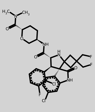 CN(C)C(=O)[C@@H]1CC[C@@H](NC(=O)[C@@H]2NC3(CC(CF)(CF)C3)[C@@]3(C(=O)Nc4cc(Cl)ccc43)[C@H]2c2cccc(F)c2Cl)CO1